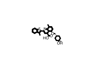 Cc1c(-c2cc(C(=O)O)c3c(OC[C@H]4CC[C@@](C)(O)CC4)ccc(C)c3n2)sc2ccccc12